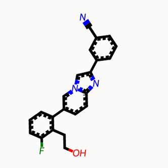 N#Cc1cccc(-c2cn3cc(-c4cccc(F)c4CCO)ccc3n2)c1